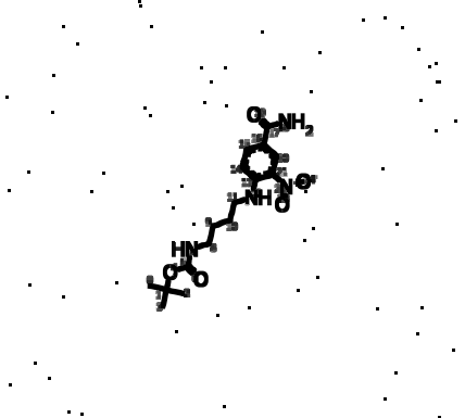 CC(C)(C)OC(=O)NCCCCNc1ccc(C(N)=O)cc1[N+](=O)[O-]